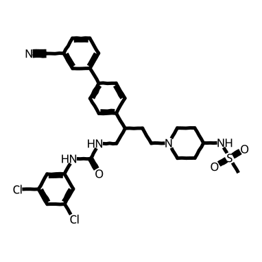 CS(=O)(=O)NC1CCN(CCC(CNC(=O)Nc2cc(Cl)cc(Cl)c2)c2ccc(-c3cccc(C#N)c3)cc2)CC1